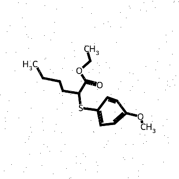 CCCCC(Sc1ccc(OC)cc1)C(=O)OCC